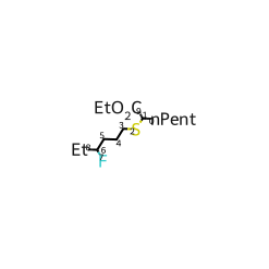 CCCCCC(SCCCC(F)CC)C(=O)OCC